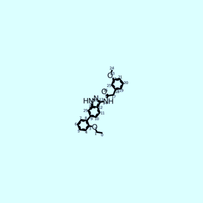 CCOc1ccccc1-c1ccc2c(NC(=O)Cc3cccc(OC)c3)n[nH]c2c1